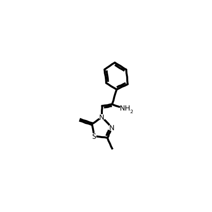 C=C1SC(C)=NN1/C=C(\N)c1ccccc1